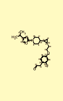 CC(C)c1noc(N2CCC(C3C[C@H]3CCOc3ccc(CC=O)c(F)c3)CC2)n1